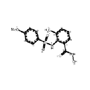 COc1ccc(S(=O)(=O)Nc2c(C)cccc2C(=O)NO)cc1